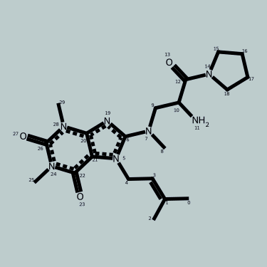 CC(C)=CCn1c(N(C)CC(N)C(=O)N2CCCC2)nc2c1c(=O)n(C)c(=O)n2C